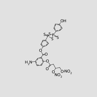 Nc1ccc(OC(=O)CC(CO[N+](=O)[O-])O[N+](=O)[O-])c(C(=O)Oc2ccc(P3(=S)SP(=S)(c4ccc(O)cc4)S3)cc2)c1